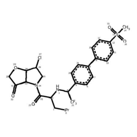 CC(C)CC(NC(c1ccc(-c2ccc(S(C)(=O)=O)cc2)cc1)C(F)(F)F)C(=O)N1CC(Cl)C2OCC(=O)C21